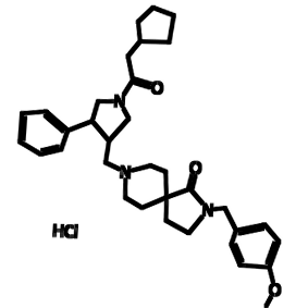 COc1ccc(CN2CCC3(CCN(CC4CN(C(=O)CC5CCCC5)CC4c4ccccc4)CC3)C2=O)cc1.Cl